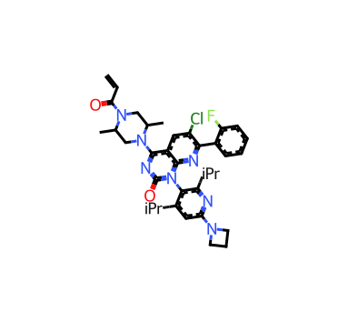 C=CC(=O)N1CC(C)N(c2nc(=O)n(-c3c(C(C)C)cc(N4CCC4)nc3C(C)C)c3nc(-c4ccccc4F)c(Cl)cc23)CC1C